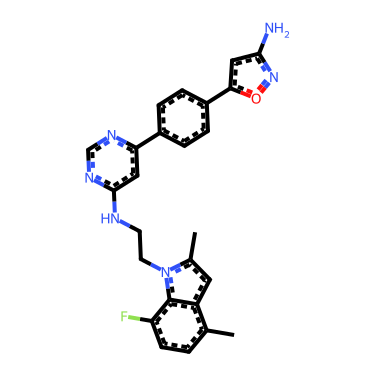 Cc1ccc(F)c2c1cc(C)n2CCNc1cc(-c2ccc(-c3cc(N)no3)cc2)ncn1